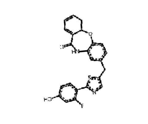 O=C1Nc2cc(Cc3cnc(-c4ccc(O)cc4F)s3)ccc2OC2CC=CC=C12